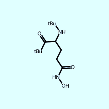 CC(C)(C)NC(CCC(=O)NO)C(=O)C(C)(C)C